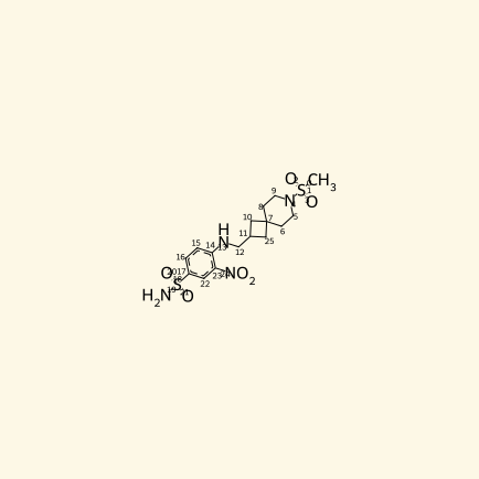 CS(=O)(=O)N1CCC2(CC1)CC(CNc1ccc(S(N)(=O)=O)cc1[N+](=O)[O-])C2